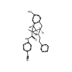 CN(C(=O)Nc1ccc(C#N)cc1)[C@@H]1[C@H]2Cc3ccc(O)cc3[C@@]1(C)CCN2CCc1ccccc1